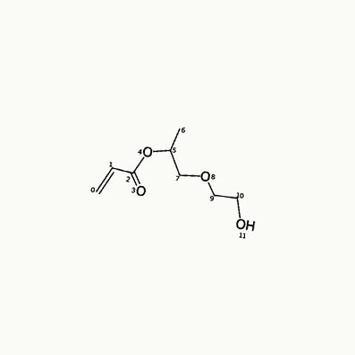 C=CC(=O)OC(C)COCCO